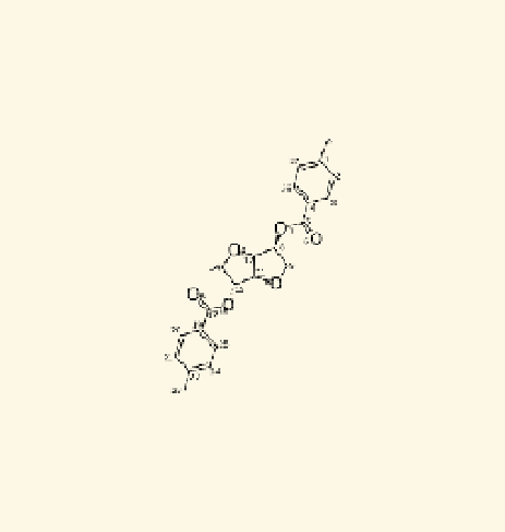 Cc1ccc(C(=O)O[C@H]2COC3C2OC[C@H]3OC(=O)c2ccc(C)cc2)cc1